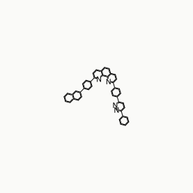 c1ccc(-c2ccc(-c3ccc(-c4ccc5ccc6ccc(-c7ccc(-c8ccc9ccccc9c8)cc7)nc6c5n4)cc3)nn2)cc1